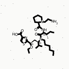 CCCCCCN(C(=O)[C@@H](NC(=O)C1CCCCN1CCN)[C@@H](C)CC)[C@H](C[C@@H](OCC)c1nc(C(=O)O)cs1)C(C)C